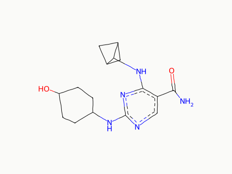 NC(=O)c1cnc(NC2CCC(O)CC2)nc1NC1C2CC1C2